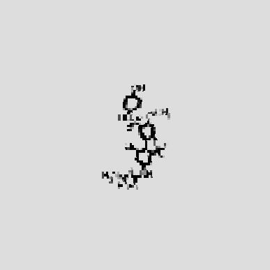 COc1ccc(-c2c(Cl)cc(Nc3n[nH]c(N)n3)cc2C(F)(F)F)cc1S(=O)(=O)NC1CCC(O)CC1